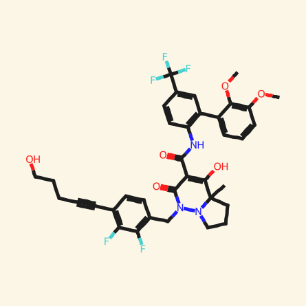 COc1cccc(-c2cc(C(F)(F)F)ccc2NC(=O)C2=C(O)C3(C)CCCN3N(Cc3ccc(C#CCCCO)c(F)c3F)C2=O)c1OC